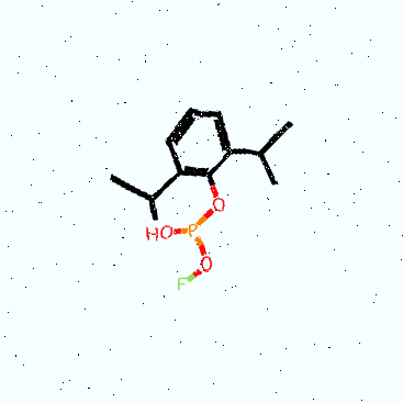 CC(C)c1cccc(C(C)C)c1OP(O)OF